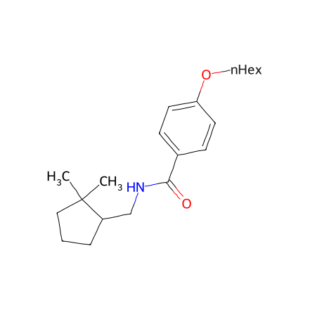 CCCCCCOc1ccc(C(=O)NCC2CCCC2(C)C)cc1